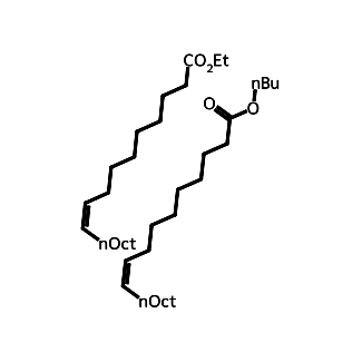 CCCCCCCC/C=C\CCCCCCCC(=O)OCC.CCCCCCCC/C=C\CCCCCCCC(=O)OCCCC